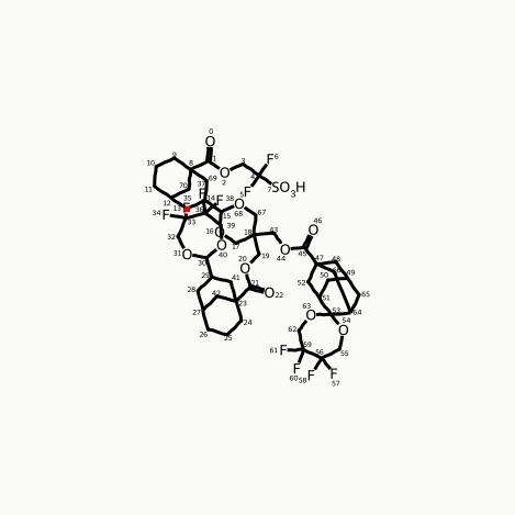 O=C(OCC(F)(F)S(=O)(=O)O)C12CCCC(CC(C3OCC(COC(=O)C45CCCC(CC(C6OCC(F)(F)C(F)(F)CO6)C4)C5)(COC(=O)C45CC6CC(C4)C4(OCC(F)(F)C(F)(F)CO4)C(C6)C5)CO3)C1)C2